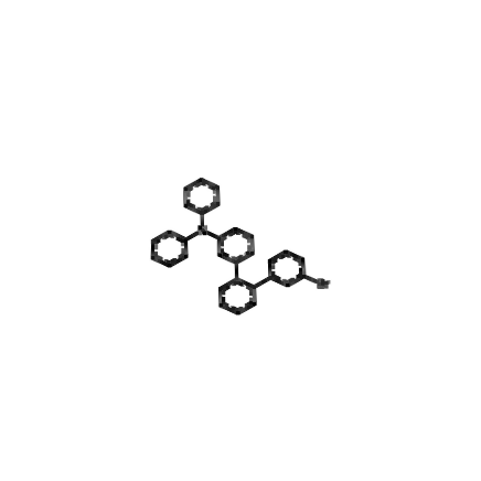 Brc1cccc(-c2ccccc2-c2cccc(N(c3ccccc3)c3ccccc3)c2)c1